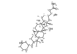 CC(C)[C@@H](OC(N)=O)[C@H]1C[C@@H](C)[C@H]2[C@H](O1)[C@H](O)[C@@]1(C)[C@@H]3CC[C@H]4C(C)(C)C(O[C@H]5CNCCO5)CC[C@@]45C[C@@]35CC[C@]21C